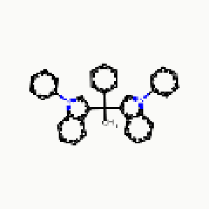 CC(c1ccccc1)(c1cn(-c2ccccc2)c2ccccc12)c1cn(-c2ccccc2)c2ccccc12